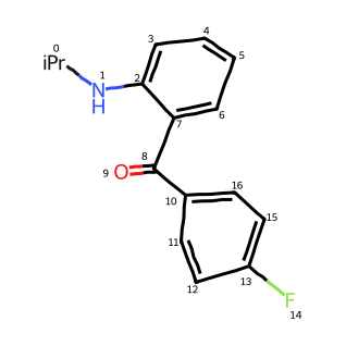 CC(C)Nc1ccccc1C(=O)c1ccc(F)cc1